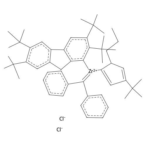 CCCC1C=C(C(C)(C)C)C=[C]1[Zr+2](=[C](c1ccccc1)c1ccccc1)[c]1c2c(cc(C(C)(C)C)c1C(C)(C)C)-c1cc(C(C)(C)C)c(C(C)(C)C)cc1C2.[Cl-].[Cl-]